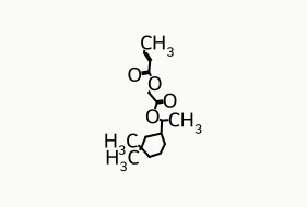 CC=CC(=O)OCC(=O)OC(C)C1CCCC(C)(C)C1